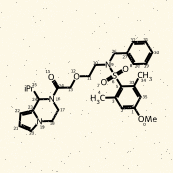 COc1cc(C)c(S(=O)(=O)N(CCOCC(=O)N2CCn3cccc3C2C(C)C)Cc2ccccc2)c(C)c1